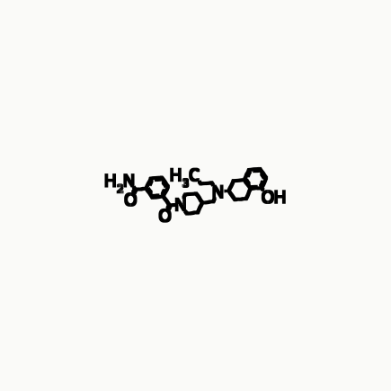 CCCN(CC1CCN(C(=O)c2cccc(C(N)=O)c2)CC1)[C@H]1CCc2c(O)cccc2C1